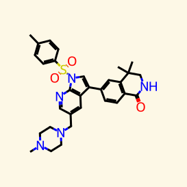 Cc1ccc(S(=O)(=O)n2cc(-c3ccc4c(c3)C(C)(C)CNC4=O)c3cc(CN4CCN(C)CC4)cnc32)cc1